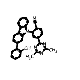 Cc1nc(C)nc(-c2ccc(C#N)c(-n3c4ccccc4c4ccc(-c5ccccc5C)cc43)c2)n1